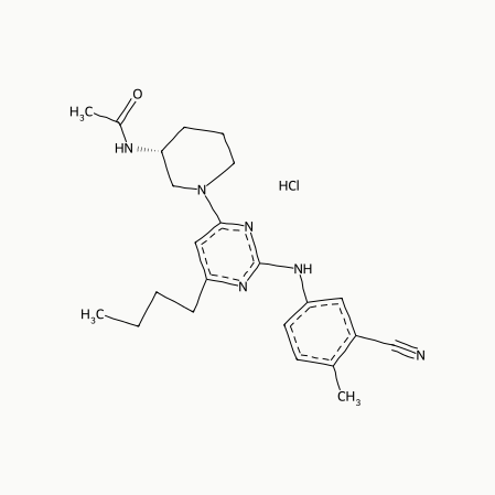 CCCCc1cc(N2CCC[C@@H](NC(C)=O)C2)nc(Nc2ccc(C)c(C#N)c2)n1.Cl